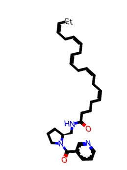 CC/C=C\C/C=C\C/C=C\C/C=C\C/C=C\CCCC(=O)NC[C@@H]1CCCN1C(=O)c1cccnc1